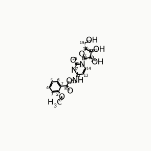 COc1ccccc1C(=O)ONc1ccn([C@@H]2O[C@H](CO)[C@@H](O)[C@H]2O)c(=O)n1